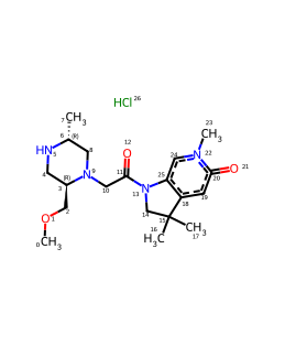 COC[C@H]1CN[C@H](C)CN1CC(=O)N1CC(C)(C)c2cc(=O)n(C)cc21.Cl